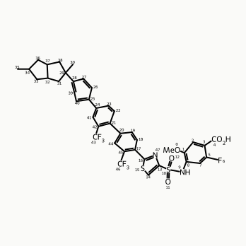 COc1cc(C(=O)O)c(F)cc1NS(=O)(=O)c1csc(-c2ccc(-c3ccc(-c4ccc(C5(C)CC6CC(C)CC6C5)cc4)cc3C(F)(F)F)cc2C(F)(F)F)n1